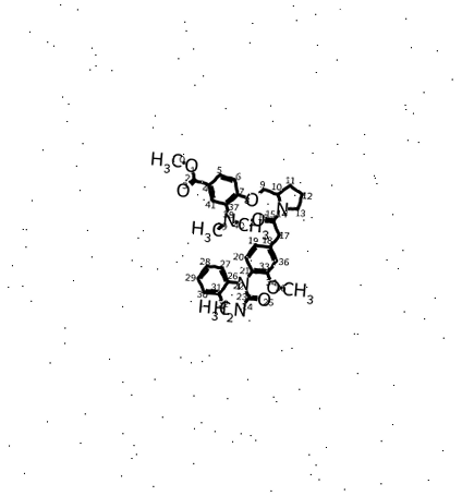 COC(=O)c1ccc(OCC2CCCN2C(=O)Cc2ccc(N(C(N)=O)c3ccccc3C)c(OC)c2)c(N(C)C)c1